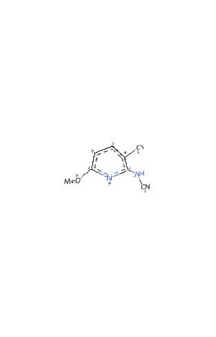 COc1ccc(C#N)c(NC#N)n1